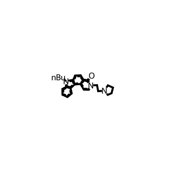 CCCCn1c2ccccc2c2c3ccn(CCN4CCCC4)c(=O)c3ccc21